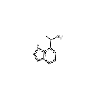 CC(C(=O)O)c1cccc2cn[nH]c12